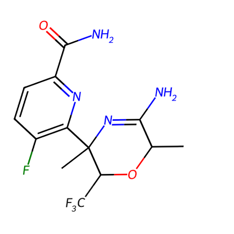 CC1OC(C(F)(F)F)C(C)(c2nc(C(N)=O)ccc2F)N=C1N